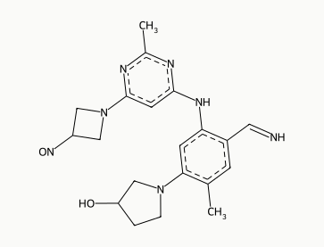 Cc1nc(Nc2cc(N3CCC(O)C3)c(C)cc2C=N)cc(N2CC(N=O)C2)n1